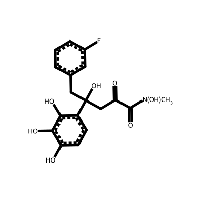 CN(O)C(=O)C(=O)CC(O)(Cc1cccc(F)c1)c1ccc(O)c(O)c1O